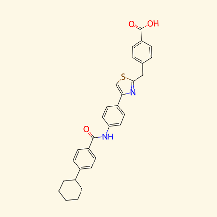 O=C(O)c1ccc(Cc2nc(-c3ccc(NC(=O)c4ccc(C5CCCCC5)cc4)cc3)cs2)cc1